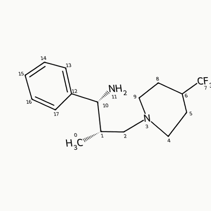 C[C@@H](CN1CCC(C(F)(F)F)CC1)[C@@H](N)c1ccccc1